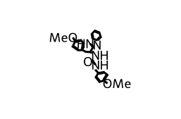 COc1ccc(CNC(=O)NC(Cc2ccc(OC)cc2)c2nc3ccccc3[nH]2)cc1